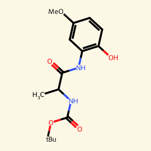 COc1ccc(O)c(NC(=O)C(C)NC(=O)OC(C)(C)C)c1